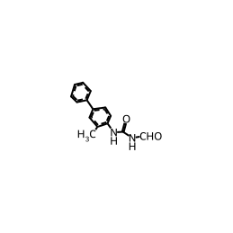 Cc1cc(-c2ccccc2)ccc1NC(=O)NC=O